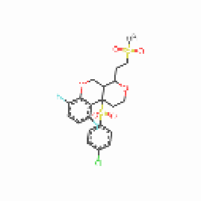 CCCS(=O)(=O)CCC1OCCC2(S(=O)(=O)c3ccc(Cl)cc3)c3c(F)ccc(F)c3OCC12